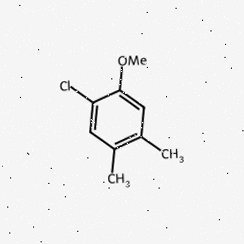 COc1cc(C)c(C)cc1Cl